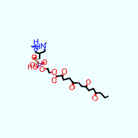 CCCC(=O)CCC(=O)CCC(=O)CCC(=O)C(=O)OCCOP(=O)(O)S(=O)(=O)CC(CNC)CNC